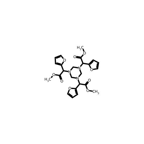 COC(=O)C(c1ccco1)N1CN(C(C(=O)OC)c2ccco2)CN(C(C(=O)OC)c2ccco2)C1